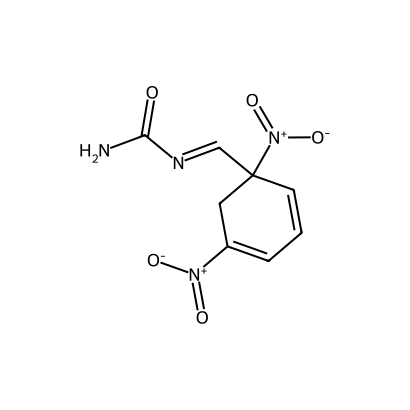 NC(=O)N=CC1([N+](=O)[O-])C=CC=C([N+](=O)[O-])C1